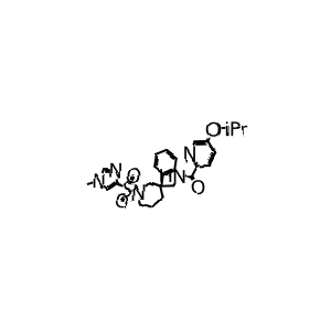 CC(C)Oc1ccc(C(=O)NCC2(c3ccccc3)CCCN(S(=O)(=O)c3cn(C)cn3)C2)nc1